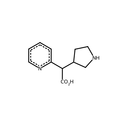 O=C(O)C(c1ccccn1)C1CCNC1